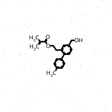 C=C(C)C(=O)OCCc1cc(CO)ccc1-c1ccc(C)cc1